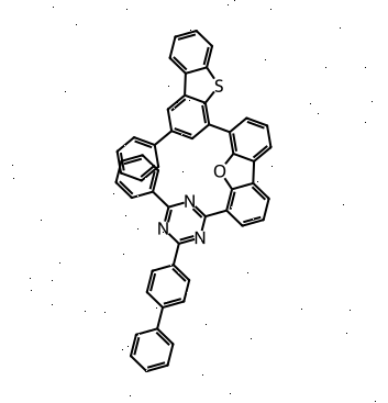 c1ccc(-c2ccc(-c3nc(-c4ccccc4)nc(-c4cccc5c4oc4c(-c6cc(-c7ccccc7)cc7c6sc6ccccc67)cccc45)n3)cc2)cc1